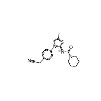 Cc1cn(-c2ccc(CC#N)cc2)/c(=N/C(=O)N2CCCCC2)s1